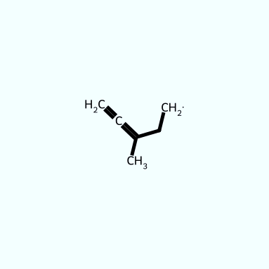 [CH2]CC(C)=C=C